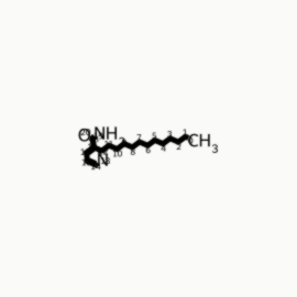 CCCCCCCCCCCCc1ncccc1C(N)=O